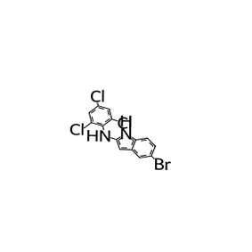 Clc1cc(Cl)c(Nc2cc3cc(Br)ccc3[nH]2)c(Cl)c1